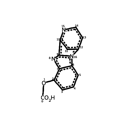 O=C(O)Oc1cccc2c1nc1c3cc(ccn3)n21